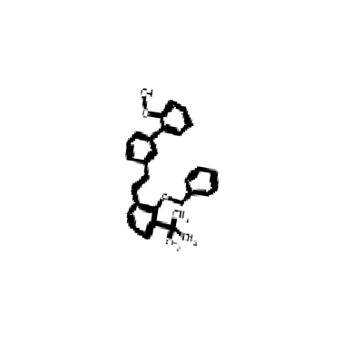 COc1ccccc1-c1cccc(C=Cc2cccc(C(C)(C)C)c2OCc2ccccc2)c1